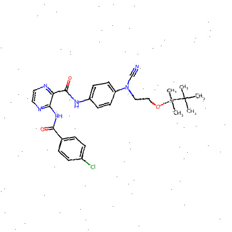 CC(C)(C)[Si](C)(C)OCCN(C#N)c1ccc(NC(=O)c2nccnc2NC(=O)c2ccc(Cl)cc2)cc1